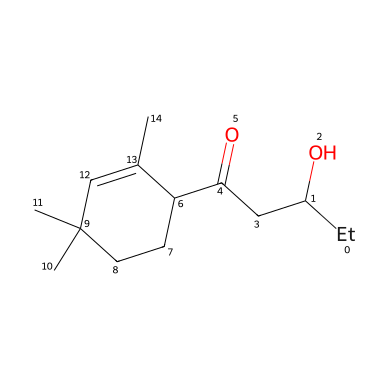 CCC(O)CC(=O)C1CCC(C)(C)C=C1C